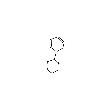 C1=CCN(C2COCC[N]2)C=C1